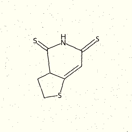 S=C1C=C2SCCC2C(=S)N1